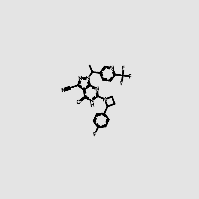 CC(c1ccc(C(F)(F)F)nc1)n1nc(C#N)c2c(=O)[nH]c(N3CCC3c3ccc(F)cc3)nc21